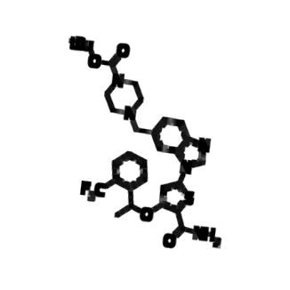 CC(Oc1cc(-n2cnc3ccc(CN4CCN(C(=O)OC(C)(C)C)CC4)cc32)sc1C(N)=O)c1ccccc1C(F)(F)F